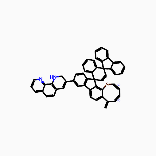 C=C1/C=C\C=C/Sc2c1ccc1c2C2(c3ccc(C4=Cc5ccc6cccnc6c5NC4)cc3-1)c1ccccc1C1(c3ccccc3-c3ccccc31)c1ccccc12